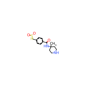 CC1(NC(=O)c2ccc(C[SH](=O)=O)cc2)CCNCC1